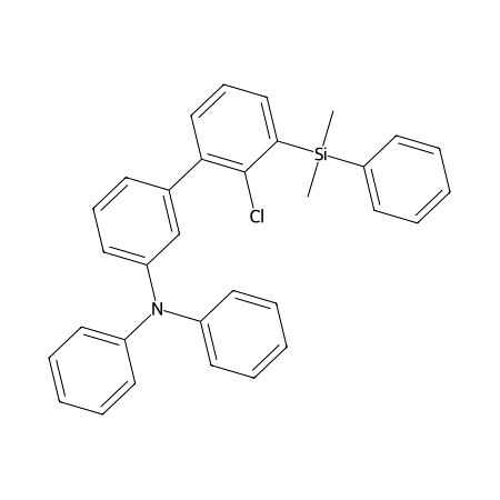 C[Si](C)(c1ccccc1)c1cccc(-c2cccc(N(c3ccccc3)c3ccccc3)c2)c1Cl